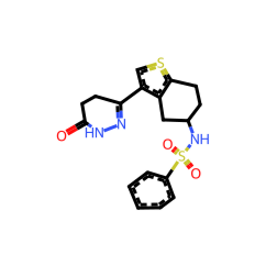 O=C1CCC(c2csc3c2CC(NS(=O)(=O)c2ccccc2)CC3)=NN1